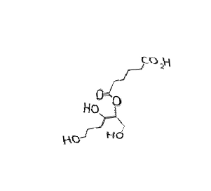 O=C(O)CCCCC(=O)OC(CO)C(O)CCCO